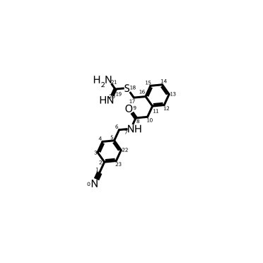 N#Cc1ccc(CNC(=O)Cc2ccccc2CSC(=N)N)cc1